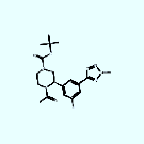 CC(=O)N1CCN(C(=O)OC(C)(C)C)C[C@H]1c1cc(Cl)cc(-c2nnn(C)n2)c1